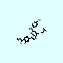 COc1ccc(Nc2cc(NCCC(F)(F)F)c3ncc(-c4ccc(C(N)=O)c(C)c4)n3n2)cn1